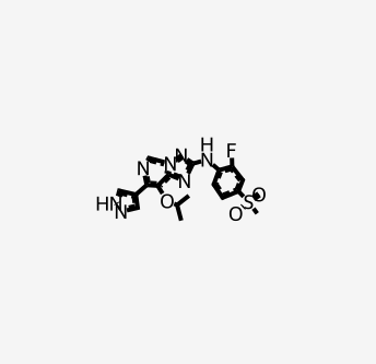 CC(C)Oc1c(-c2cn[nH]c2)ncn2nc(Nc3ccc(S(C)(=O)=O)cc3F)nc12